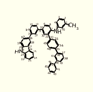 Cc1cccc(Nc2ccc(-c3cccc(-c4ccc5[nH]c6ccccc6c5c4)c3)cc2-c2ccc(-c3cccc(-c4ccccc4)c3)cc2)c1